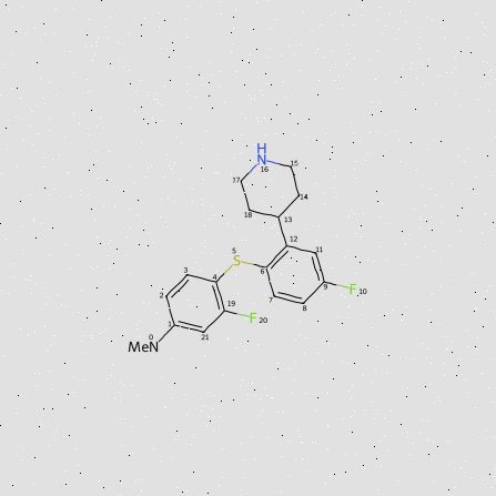 CNc1ccc(Sc2ccc(F)cc2C2CCNCC2)c(F)c1